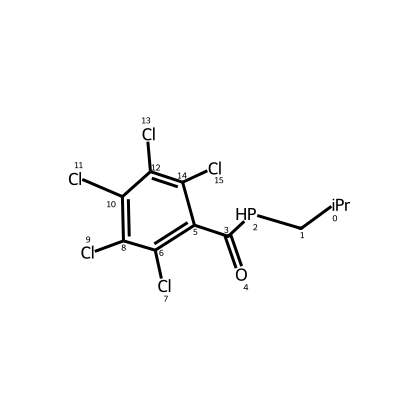 CC(C)CPC(=O)c1c(Cl)c(Cl)c(Cl)c(Cl)c1Cl